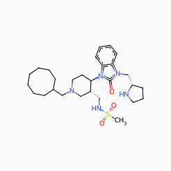 CS(=O)(=O)NC[C@@H]1CN(CC2CCCCCCC2)CC[C@H]1n1c(=O)n(C[C@@H]2CCCN2)c2ccccc21